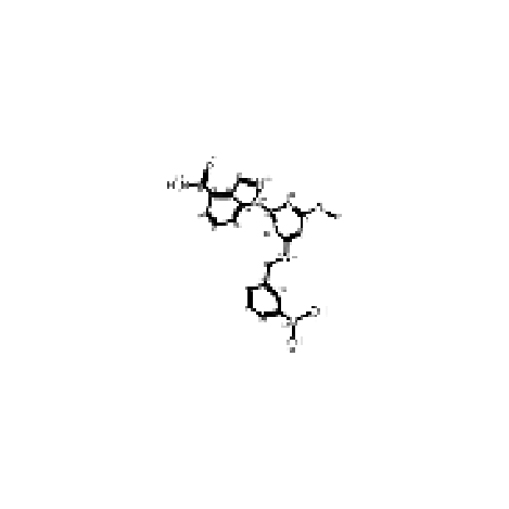 COc1cc(NCc2cccc(B(O)O)c2)nc(-n2ncc3c(C(N)=O)cccc32)n1